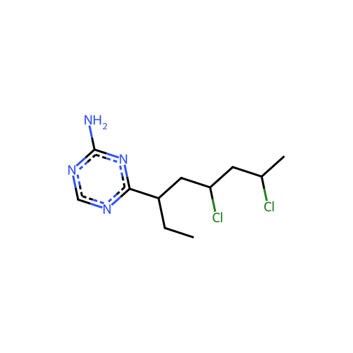 CCC(CC(Cl)CC(C)Cl)c1ncnc(N)n1